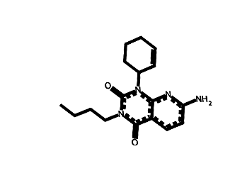 CCCCn1c(=O)c2ccc(N)nc2n(C2C=CCCC2)c1=O